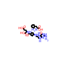 NC(Cc1ccccc1)C(=O)O.Nc1nc2c(c(=O)[nH]1)NC(CNc1ccc(C(=O)NC(CCC(=O)O)C(=O)O)cc1)CN2